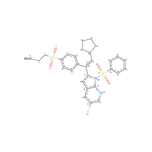 COCCS(=O)(=O)c1ccc(/C(=C\C2CCCC2)c2cc3cc(F)cnc3n2S(=O)(=O)c2ccccc2)cc1